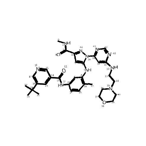 CNC(=O)c1cc(Nc2cc(NC(=O)c3cncc(C(C)(C)C)c3)ccc2C)n(-c2cc(NCCN3CCOCC3)ncn2)n1